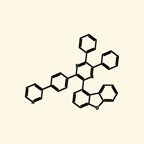 c1ccc(-c2nc(-c3ccc(-c4cccnc4)cc3)c(-c3cccc4oc5ccccc5c34)nc2-c2ccccc2)cc1